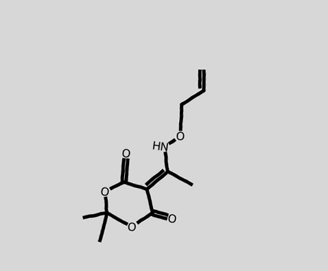 C=CCONC(C)=C1C(=O)OC(C)(C)OC1=O